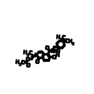 CC(=O)OC[C@@H](C)n1ccc2c(C(=O)NCC3(O)CCC(C)(C)CC3)c(Cl)ccc2c1=O